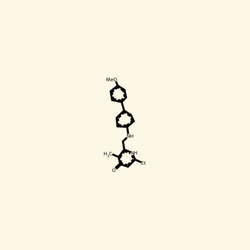 CCc1cc(=O)c(C)c(CNc2ccc(-c3ccc(OC)cc3)cc2)[nH]1